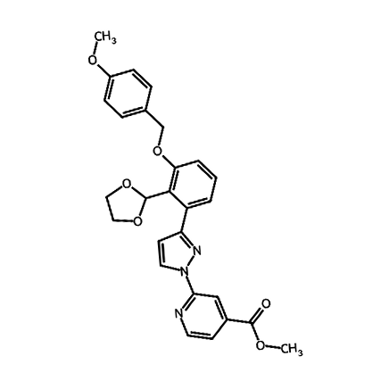 COC(=O)c1ccnc(-n2ccc(-c3cccc(OCc4ccc(OC)cc4)c3C3OCCO3)n2)c1